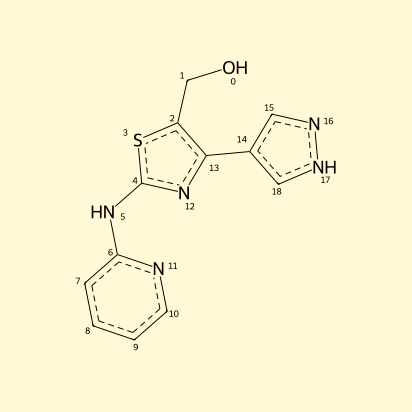 OCc1sc(Nc2ccccn2)nc1-c1cn[nH]c1